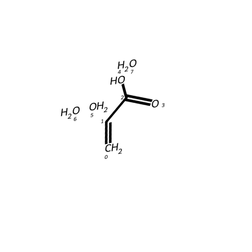 C=CC(=O)O.O.O.O